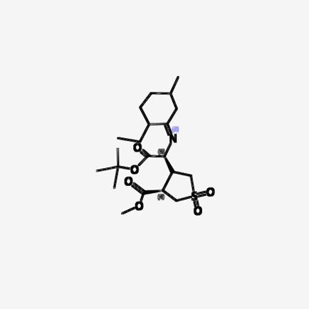 CCC1CCC(C)C/C1=N/[C@H](C(=O)OC(C)(C)C)C1CS(=O)(=O)C[C@H]1C(=O)OC